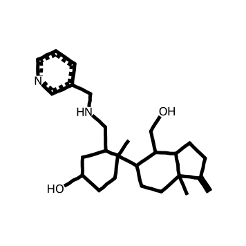 C=C1CCC2C(CO)C(C3(C)CCC(O)CC3CNCc3cccnc3)CCC12C